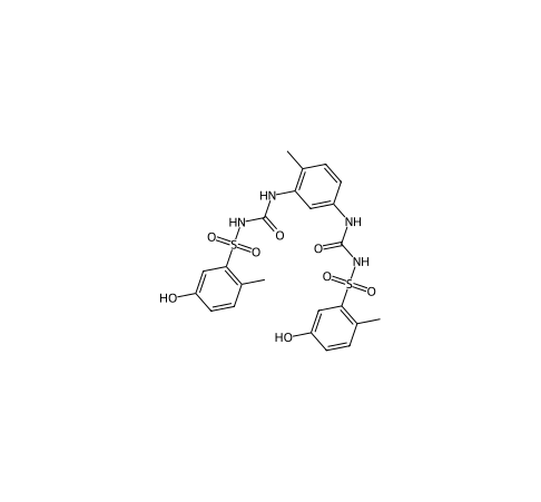 Cc1ccc(NC(=O)NS(=O)(=O)c2cc(O)ccc2C)cc1NC(=O)NS(=O)(=O)c1cc(O)ccc1C